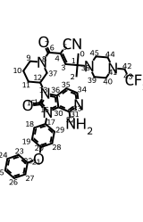 CC(C)(C=C(C#N)C(=O)N1CCCC(n2c(=O)n(-c3ccc(Oc4ccccc4)cc3)c3c(N)nccc32)C1)N1CCN(CC(F)(F)F)CC1